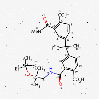 CC[Si](C)(C)O[Si](C)(C)CNC(=O)c1cc(C(C)(c2ccc(C(=O)O)c(C(=O)NC)c2)C(F)(F)F)ccc1C(=O)O